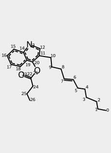 CCCCCCC=CCCCc1cnc2ccccc2c1OC(=O)CCC